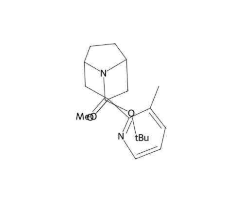 COC1(c2ncccc2C)CC2CCC(C1)N2C(=O)OC(C)(C)C